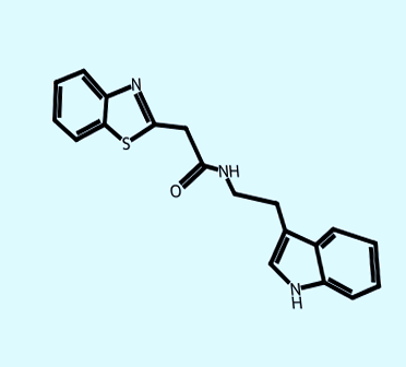 O=C(Cc1nc2ccccc2s1)NCCc1c[nH]c2ccccc12